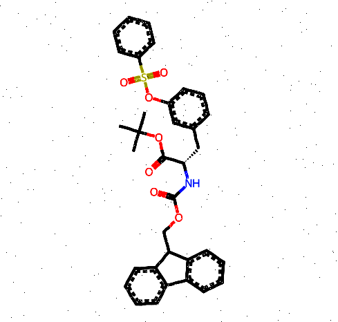 CC(C)(C)OC(=O)[C@H](Cc1cccc(OS(=O)(=O)c2ccccc2)c1)NC(=O)OCC1c2ccccc2-c2ccccc21